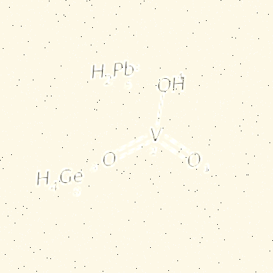 [GeH4].[O]=[V](=[O])[OH].[PbH2]